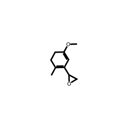 COC1=CC(C2CO2)=C(C)CC1